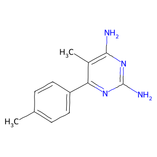 Cc1ccc(-c2nc(N)nc(N)c2C)cc1